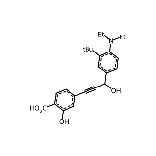 CCN(CC)c1ccc(C(O)C#Cc2ccc(C(=O)O)c(O)c2)cc1C(C)(C)C